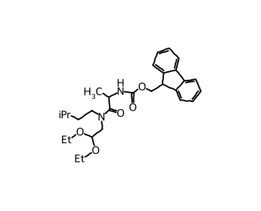 CCOC(CN(CCC(C)C)C(=O)C(C)NC(=O)OCC1c2ccccc2-c2ccccc21)OCC